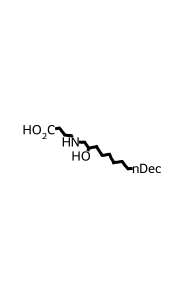 CCCCCCCCCCCCCCCCC(O)CNCCCC(=O)O